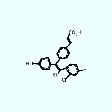 CC/C(=C(\c1ccc(O)cc1)c1ccc(/C=C/C(=O)O)cc1)c1ccc(F)cc1Cl